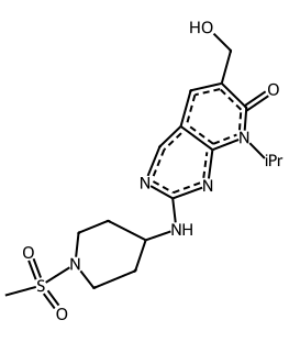 CC(C)n1c(=O)c(CO)cc2cnc(NC3CCN(S(C)(=O)=O)CC3)nc21